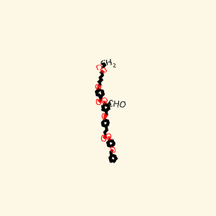 C=CC(=O)OCCCCCCOc1ccc(C(=O)Oc2ccc(COc3ccc(CCC(=O)Oc4ccc(OCc5ccccc5)cc4)cc3)cc2C=O)cc1